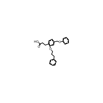 O=C(O)CCc1ccc(COc2ccccc2)cc1OCCCc1ccccc1